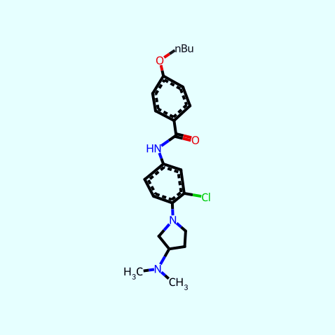 CCCCOc1ccc(C(=O)Nc2ccc(N3CCC(N(C)C)C3)c(Cl)c2)cc1